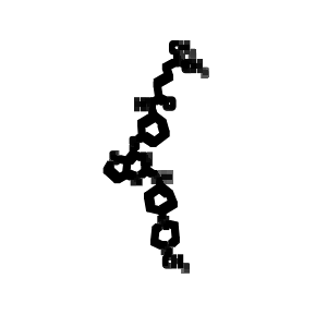 CN(C)CC=CC(=O)Nc1cccc(Sc2nc(Nc3ccc(N4CCN(C)CC4)cc3)nc3ccsc23)c1